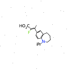 C/C(=C(/F)C(=O)O)c1ccc2c(c1)CCCCN2C(C)C